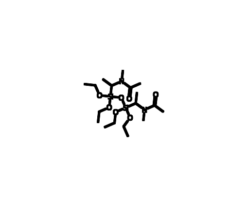 CCO[Si](OCC)(O[Si](OCC)(OCC)C(C)N(C)C(C)=O)C(C)N(C)C(C)=O